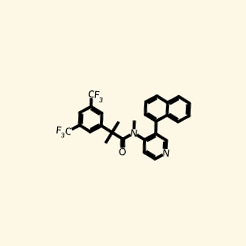 CN(C(=O)C(C)(C)c1cc(C(F)(F)F)cc(C(F)(F)F)c1)c1ccncc1-c1cccc2ccccc12